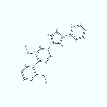 CCc1ccccc1-c1ccc(-n2nnc(-c3ccccn3)n2)cc1OC